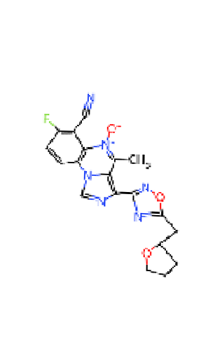 Cc1c2c(-c3noc(CC4CCCO4)n3)ncn2c2ccc(F)c(C#N)c2[n+]1[O-]